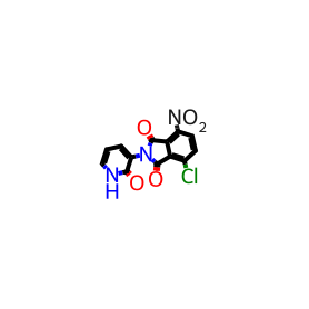 O=C1c2c(Cl)ccc([N+](=O)[O-])c2C(=O)N1c1ccc[nH]c1=O